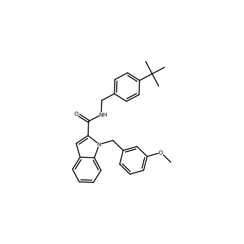 COc1cccc(Cn2c(C(=O)NCc3ccc(C(C)(C)C)cc3)cc3ccccc32)c1